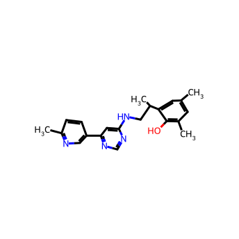 Cc1cc(C)c(O)c(C(C)CNc2cc(-c3ccc(C)nc3)ncn2)c1